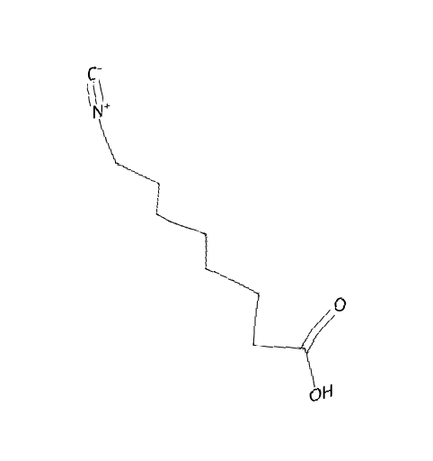 [C-]#[N+]CCCCCCCC(=O)O